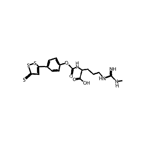 CNC(=N)NCCCC(NC(=O)Oc1ccc(-c2cc(=S)ss2)cc1)C(=O)O